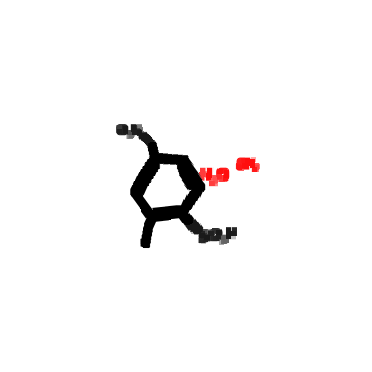 Cc1cc([N+](=O)[O-])ccc1S(=O)(=O)O.O.O